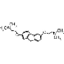 CN(C)CCOc1ccc2c(c1)Cc1ccc(OCCN(C)C)cc1-2